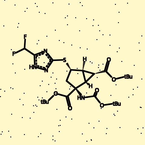 CC(C)(C)OC(=O)N[C@@]1(C(=O)OC(C)(C)C)C[C@H](Sc2n[nH]c(C(F)F)n2)[C@H]2[C@H](C(=O)OC(C)(C)C)[C@H]21